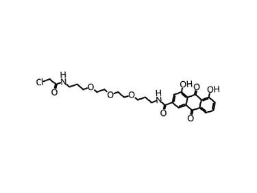 O=C(CCl)NCCCOCCOCCOCCCNC(=O)c1cc(O)c2c(c1)C(=O)c1cccc(O)c1C2=O